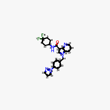 O=C(NC1CCC(F)(F)CC1)c1cn(Cc2ccc(-n3cccn3)cc2)c2cccnc12